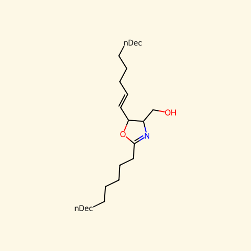 CCCCCCCCCCCCCC=CC1OC(CCCCCCCCCCCCCCC)=NC1CO